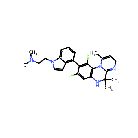 CC1=CCN=C2N1c1c(cc(F)c(-c3cccc4c3ccn4CCN(C)C)c1F)NC2(C)C